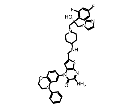 Nc1nc2sc(CNC3CCN(C[C@](O)(Cn4ccnc4)c4ccc(F)cc4F)CC3)cc2n(-c2ccc3c(c2)N(c2ccccc2)CCO3)c1=O